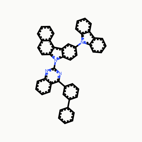 c1ccc(-c2cccc(-c3nc(-n4c5ccc(-n6c7ccccc7c7ccccc76)cc5c5c6ccccc6ccc54)nc4ccccc34)c2)cc1